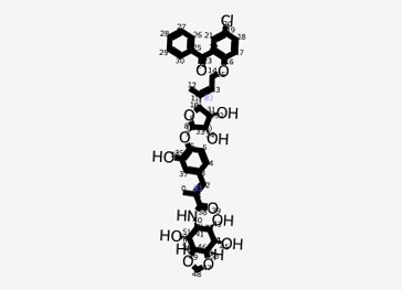 C/C(=C\c1ccc(O[C@@H]2O[C@H](/C(C)=C/COc3ccc(Cl)cc3C(=O)c3ccccc3)[C@@H](O)[C@@H]2O)c(O)c1)C(=O)N[C@@H]1[C@H](O)[C@@H](O)[C@H]2OCO[C@H]2[C@@H]1O